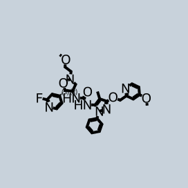 COCCN1C[C@@H](NC(=O)Nc2c(C)c(OCc3cc(OC)ccn3)nn2-c2ccccc2)[C@H](c2ccnc(F)c2)O1